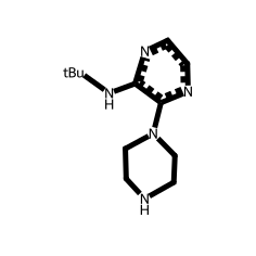 CC(C)(C)Nc1nccnc1N1CCNCC1